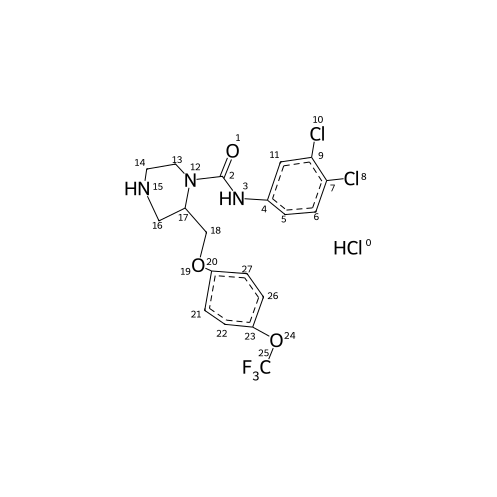 Cl.O=C(Nc1ccc(Cl)c(Cl)c1)N1CCNCC1COc1ccc(OC(F)(F)F)cc1